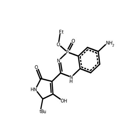 CCOP1(=O)N=C(C2=C(O)C(C(C)(C)C)NC2=O)Nc2ccc(N)cc21